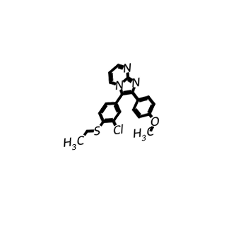 CCSc1ccc(-c2c(-c3ccc(OC)cc3)nc3ncccn23)cc1Cl